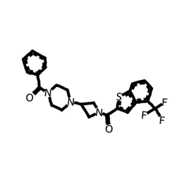 O=C(c1ccccc1)N1CCN(C2CN(C(=O)c3cc4c(C(F)(F)F)cccc4s3)C2)CC1